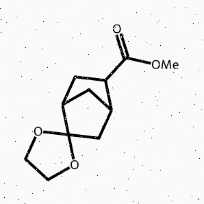 COC(=O)C1CC2CC1CC21OCCO1